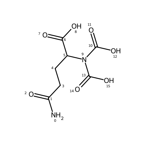 NC(=O)CCC(C(=O)O)N(C(=O)O)C(=O)O